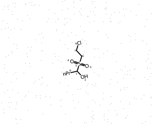 CCCC(O)S(=O)(=O)CCCl